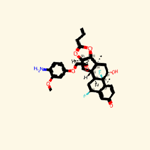 CCCC1O[C@@H]2C[C@H]3[C@@H]4C[C@H](F)C5=CC(=O)C=C[C@]5(C)[C@@]4(F)[C@@H](O)C[C@]3(C)[C@]2(C(=O)COc2ccc(N)c(OC)c2)O1